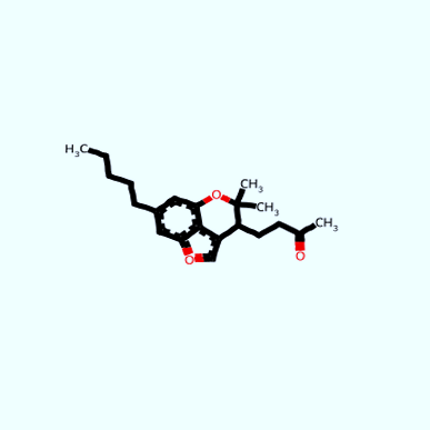 CCCCCc1cc2c3c(coc3c1)C(CCC(C)=O)C(C)(C)O2